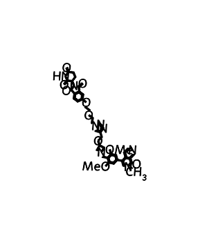 COc1cc(-c2cn(C)c(=O)c3cnccc23)cc(OC)c1CN1CC(OCc2cn(CCOCCOc3ccc4c(c3)C(=O)N(C3CCC(=O)NC3=O)C4=O)nn2)C1